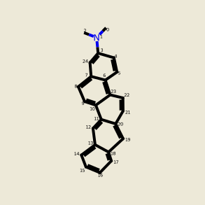 CN(C)c1ccc2c(ccc3c4cc5ccccc5cc4ccc23)c1